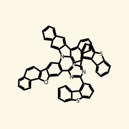 c1ccc2cc3c(cc2c1)c1c2ccccc2ccc1n3-c1cc2c(cc1-c1nc(-c3cccc4sc5ccccc5c34)nc(-c3cccc4sc5ccccc5c34)n1)oc1c3ccccc3ccc21